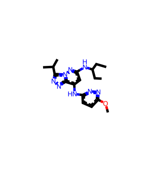 CCC(CC)Nc1cc(Nc2ccc(OC)nn2)c2nnc(C(C)C)n2n1